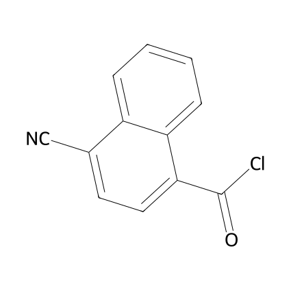 N#Cc1ccc(C(=O)Cl)c2ccccc12